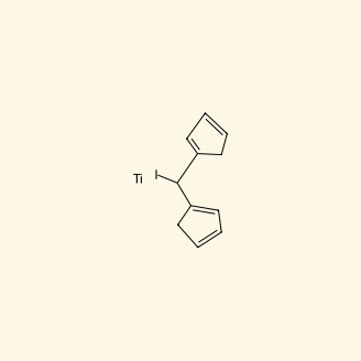 IC(C1=CC=CC1)C1=CC=CC1.[Ti]